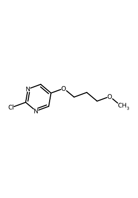 COCCCOc1cnc(Cl)nc1